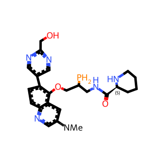 CNc1cnc2ccc(-c3cnc(CO)nc3)c(OCC(P)CNC(=O)[C@@H]3CCCCN3)c2c1